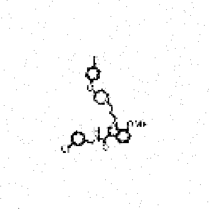 COc1cccc2c(C(=O)NCc3cccc(Cl)c3)cn(CCCN3CCC(Oc4ccc(F)cc4)CC3)c12